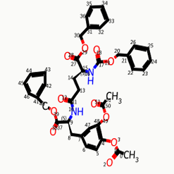 CC(=O)Oc1ccc(C[C@H](NC(=O)CC[C@H](NC(=O)OCc2ccccc2)C(=O)OCc2ccccc2)C(=O)OCc2ccccc2)cc1OC(C)=O